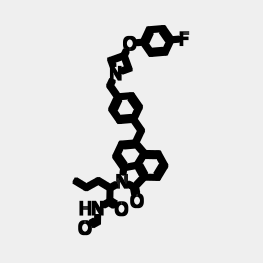 CCCC(C(=O)NC=O)N1C(=O)c2cccc3c(Cc4ccc(CN5CC(Oc6ccc(F)cc6)C5)cc4)ccc1c23